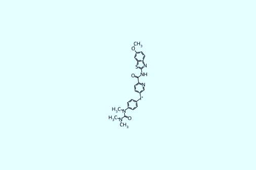 COc1ccc2nc(NC(=O)c3ccc([I+]c4ccc(N(C)C(=O)N(C)C)cc4)cn3)sc2c1